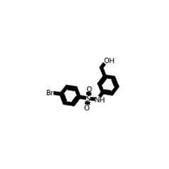 O=S(=O)(Nc1cccc(CO)c1)c1ccc(Br)cc1